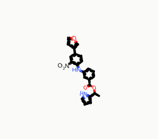 CC(OC(=O)c1cccc(Nc2ccc(-c3ccoc3)cc2[N+](=O)[O-])c1)c1ccc[nH]1